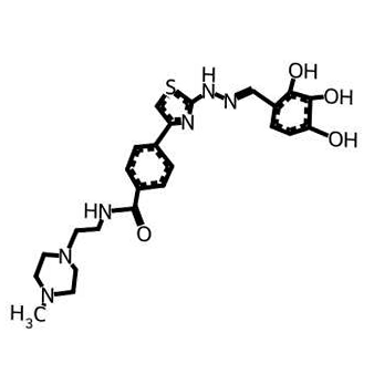 CN1CCN(CCNC(=O)c2ccc(-c3csc(N/N=C/c4ccc(O)c(O)c4O)n3)cc2)CC1